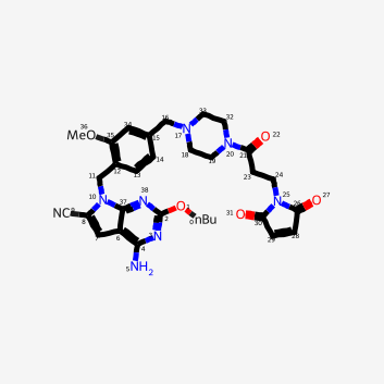 CCCCOc1nc(N)c2cc(C#N)n(Cc3ccc(CN4CCN(C(=O)CCN5C(=O)C=CC5=O)CC4)cc3OC)c2n1